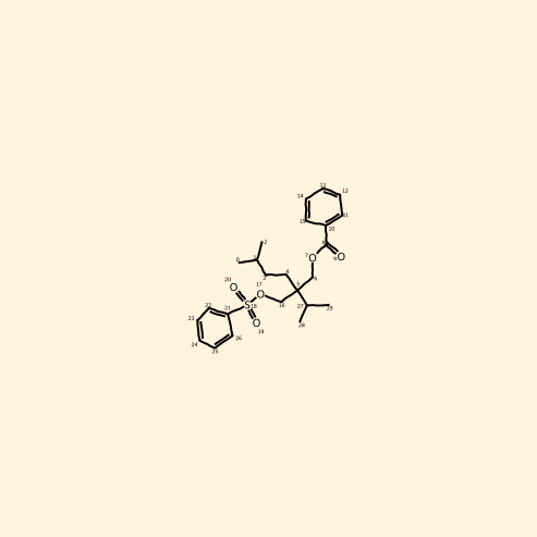 CC(C)CCC(COC(=O)c1ccccc1)(COS(=O)(=O)c1ccccc1)C(C)C